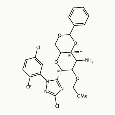 COCOC1C(N)[C@H]2OC(c3ccccc3)OCC2O[C@H]1c1nc(Cl)nn1-c1cc(Cl)cnc1C(F)(F)F